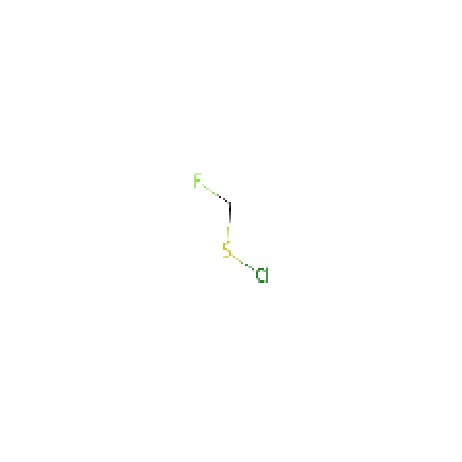 FCSCl